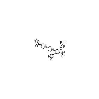 Cn1cc(-c2cc([N+](=O)[O-])c(OCC(F)(F)F)cc2N2CCC(N3CCN(C(=O)OC(C)(C)C)CC3)CC2)cn1